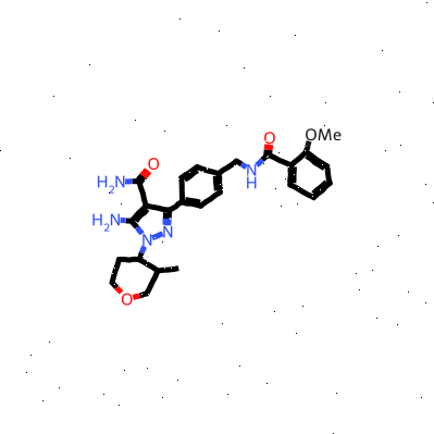 COc1ccccc1C(=O)NCc1ccc(-c2nn(C3CCOCC3C)c(N)c2C(N)=O)cc1